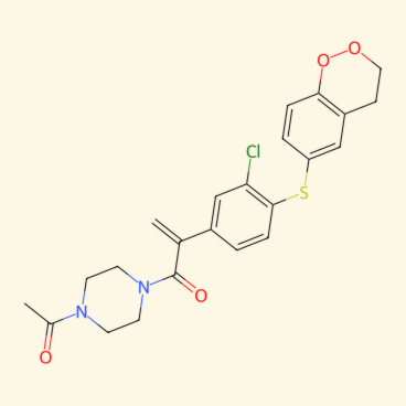 C=C(C(=O)N1CCN(C(C)=O)CC1)c1ccc(Sc2ccc3c(c2)CCOO3)c(Cl)c1